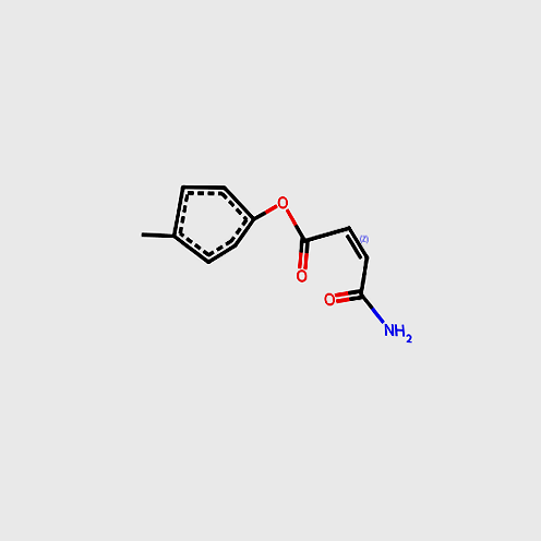 Cc1ccc(OC(=O)/C=C\C(N)=O)cc1